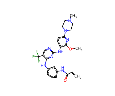 C=CC(=O)Nc1cccc(Nc2nc(Nc3ccc(N4CCN(C)CC4)nc3OC)ncc2C(F)(F)F)c1